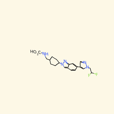 O=C(O)NCC1CCC(n2cc3ccc(-c4cnn(CC(F)F)c4)cc3n2)CC1